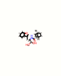 O=C(N[C@@H](Cc1coc2ccccc12)B(O)O)[C@@H]1C[C@H]2CC[C@@H]1C2